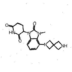 Cn1c(=O)n(C2CCC(=O)NC2=O)c2cccc(N3CC4(CNC4)C3)c21